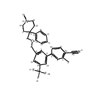 Cc1cc(-c2cc(COCC3(c4ccccc4)CCN(C)CC3)cc(C(F)(F)F)c2)ccc1C#N